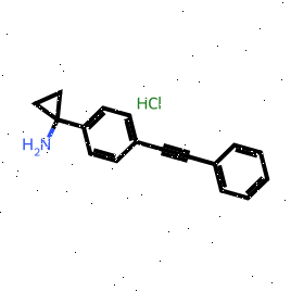 Cl.NC1(c2ccc(C#Cc3ccccc3)cc2)CC1